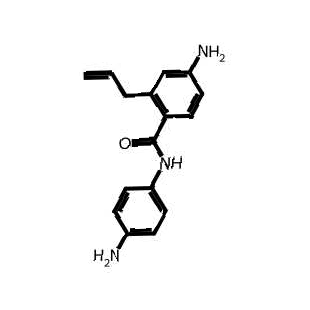 C=CCc1cc(N)ccc1C(=O)Nc1ccc(N)cc1